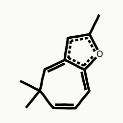 Cc1cc2c(o1)=CC=CC(C)(C)C=2